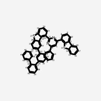 c1ccc(-c2cc(-c3cccc4c3sc3ccccc34)nc(-c3cccc4sc5ccc(-c6cccc(-c7ccccc7-c7ccccc7)c6)cc5c34)n2)cc1